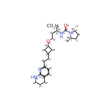 C[C@@H]1CC[C@@H](C)N1C(=O)N[C@@H](CCOC1CC(CCc2ccc3c(n2)NCCC3)C1)C(=O)O